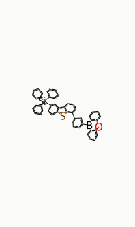 c1ccc([Si](c2ccccc2)(c2ccccc2)c2ccc3sc4c(-c5cccc(B6c7ccccc7Oc7ccccc76)c5)cccc4c3c2)cc1